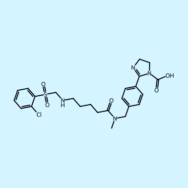 CN(Cc1ccc(C2=NCCN2C(=O)O)cc1)C(=O)CCCCNCS(=O)(=O)c1ccccc1Cl